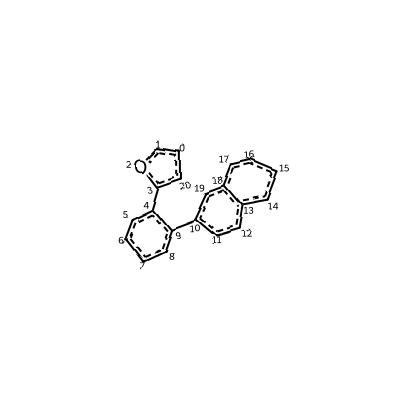 c1coc(-c2ccccc2-c2ccc3ccccc3c2)c1